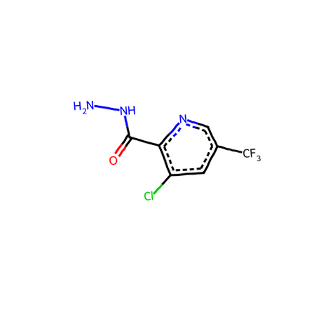 NNC(=O)c1ncc(C(F)(F)F)cc1Cl